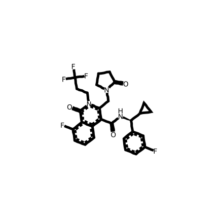 O=C(N[C@H](c1cccc(F)c1)C1CC1)c1c(CN2CCCC2=O)n(CCC(F)(F)F)c(=O)c2c(F)cccc12